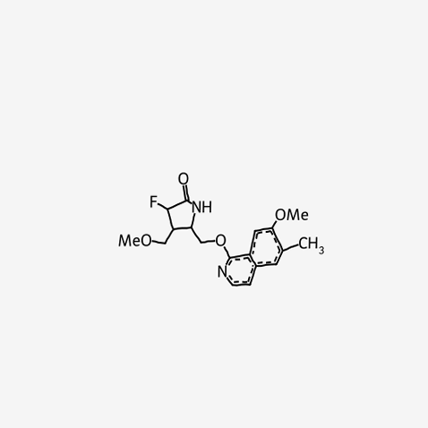 COCC1C(COc2nccc3cc(C)c(OC)cc23)NC(=O)C1F